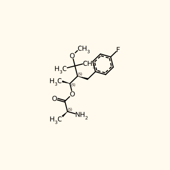 COC(C)(C)[C@@H](Cc1ccc(F)cc1)[C@H](C)OC(=O)[C@H](C)N